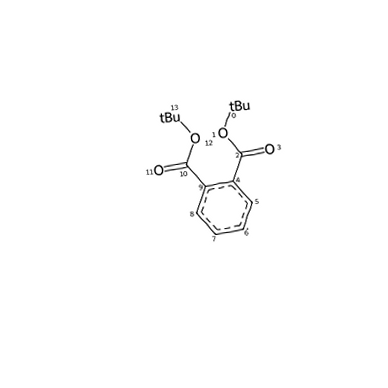 CC(C)(C)OC(=O)c1c[c]ccc1C(=O)OC(C)(C)C